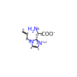 C=CCn1cc[n+](C)c1.NCC(=O)[O-]